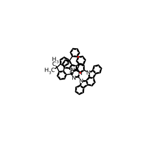 CC1(C)c2ccccc2-c2c(-c3nc(-c4ccccc4)nc(-n4c5ccccc5c5ccc6c7ccccc7n(-c7ccc8c(c7)oc7cccc(-c9ccccc9)c78)c6c54)n3)cccc21